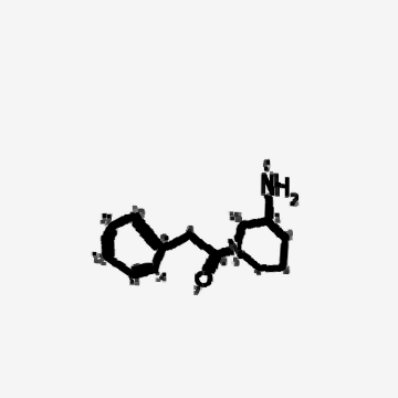 NC1CCCN(C(=O)Cc2ccccc2)C1